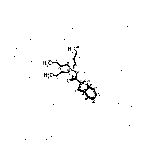 CCCC[N+](CCCC)(CCCC)CC(=O)c1cc2ccccc2s1